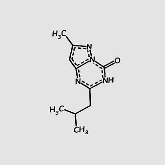 Cc1cc2nc(CC(C)C)[nH]c(=O)n2n1